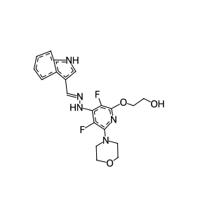 OCCOc1nc(N2CCOCC2)c(F)c(NN=Cc2c[nH]c3ccccc23)c1F